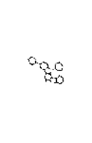 Brc1cc2c3cc(-c4ccccc4)ccc3n(-c3ccccc3)c2c2c1sc1ccccc12